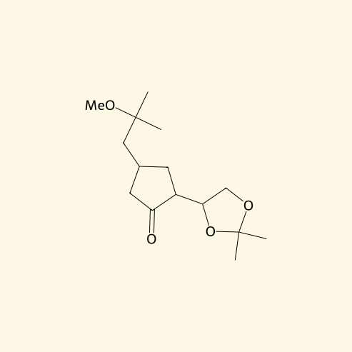 COC(C)(C)CC1CC(=O)C(C2COC(C)(C)O2)C1